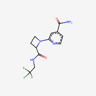 NC(=O)c1ccnc(N2CCC2C(=O)NCC(F)(F)F)c1